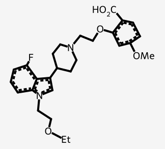 CCOCCn1cc(C2CCN(CCOc3cc(OC)ccc3C(=O)O)CC2)c2c(F)cccc21